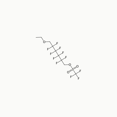 CCOCC(F)(F)C(F)(F)C(F)(F)C(F)(F)COS(=O)(=O)C(F)(F)F